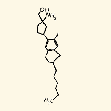 CCCCCCC1CCc2cc([C@H]3CC[C@](N)(CO)C3)c(I)cc2C1